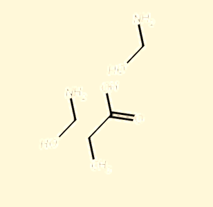 CCC(=O)O.NCO.NCO